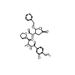 C[C@H](NC(=O)c1ccc(N)c(Cl)c1)C(=O)N1CCC[C@@H]1C(=O)NC1CC(=O)OC1OCc1ccccc1